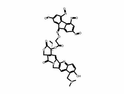 CC[C@@]1(OC(=O)CON=C2c3cc(N=O)cc(N=O)c3-c3c(N=O)cc(N=O)cc32)C(=O)OCc2c1cc1n(c2=O)Cc2cc3c(CN(C)C)c(O)ccc3nc2-1